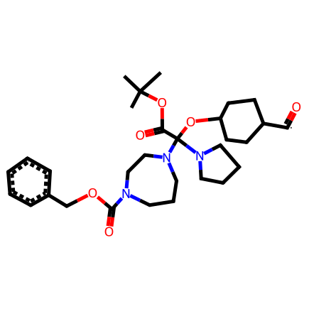 CC(C)(C)OC(=O)C(OC1CCC([C]=O)CC1)(N1CCCC1)N1CCCN(C(=O)OCc2ccccc2)CC1